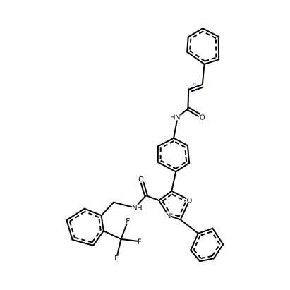 O=C(/C=C/c1ccccc1)Nc1ccc(-c2oc(-c3ccccc3)nc2C(=O)NCc2ccccc2C(F)(F)F)cc1